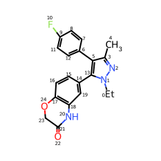 CCn1nc(C)c(-c2ccc(F)cc2)c1-c1ccc2c(c1)NC(=O)CO2